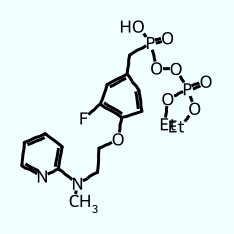 CCOP(=O)(OCC)OOP(=O)(O)Cc1ccc(OCCN(C)c2ccccn2)c(F)c1